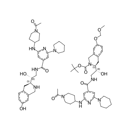 CC(=O)N1CCC(Nc2cc(C(=O)NC[C@@H](O)[C@@H]3Cc4ccc(O)cc4CN3)cc(N3CCCCC3)n2)CC1.COCOc1ccc2c(c1)CN(C(=O)OC(C)(C)C)[C@H]([C@H](O)CNC(=O)c1cc(NC3CCN(C(C)=O)CC3)nc(N3CCCCC3)c1)C2